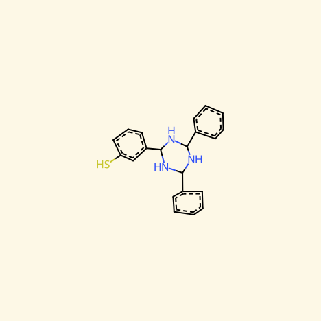 Sc1cccc(C2NC(c3ccccc3)NC(c3ccccc3)N2)c1